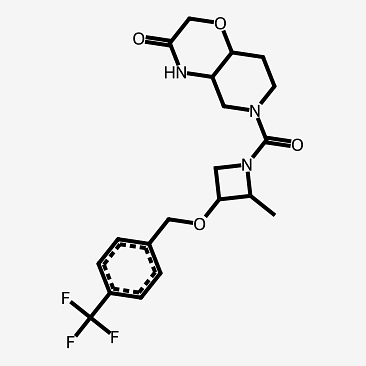 CC1C(OCc2ccc(C(F)(F)F)cc2)CN1C(=O)N1CCC2OCC(=O)NC2C1